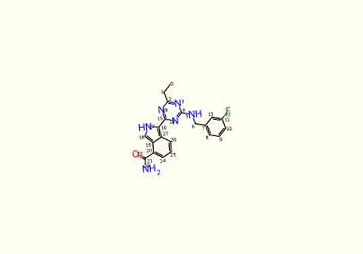 CCc1nc(NCc2cccc(F)c2)nc(-c2[nH]cc3c(C(N)=O)cccc23)n1